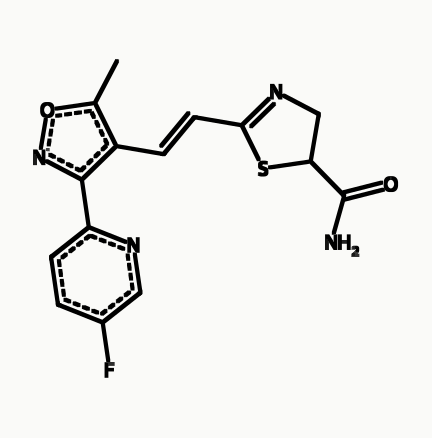 Cc1onc(-c2ccc(F)cn2)c1/C=C/C1=NCC(C(N)=O)S1